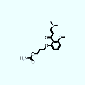 COc1cccc(OCCCOC(N)=O)c1C(=O)C=CN(C)C